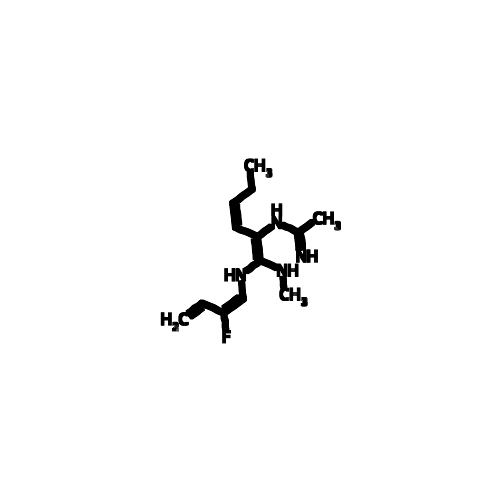 C=C/C(F)=C\N/C(NC)=C(\C=C/CC)NC(C)=N